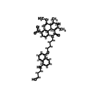 COC(=O)C1=C(C)NC(C)=C(C(=O)OCCCCOc2cccc3c(NCCCO)cccc23)C1c1cccc([N+](=O)[O-])c1